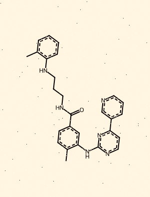 Cc1ccccc1NCCCNC(=O)c1ccc(C)c(Nc2nccc(-c3cccnc3)n2)c1